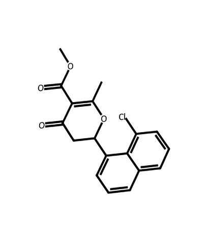 COC(=O)C1=C(C)OC(c2cccc3cccc(Cl)c23)CC1=O